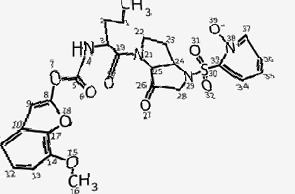 CCCC(NC(=O)Oc1cc2cccc(OC)c2o1)C(=O)N1CCC2C1C(=O)CN2S(=O)(=O)c1cccc[n+]1[O-]